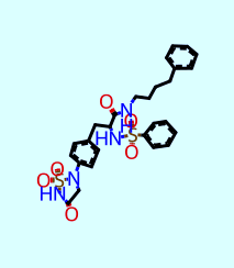 O=C1CN(c2ccc(CC(NS(=O)(=O)c3ccccc3)C(=O)NCCCCc3ccccc3)cc2)S(=O)(=O)N1